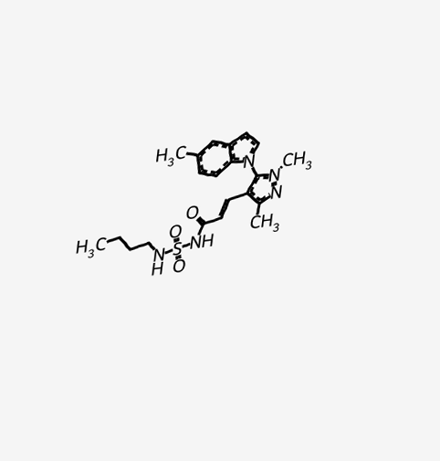 CCCCNS(=O)(=O)NC(=O)/C=C/c1c(C)nn(C)c1-n1ccc2cc(C)ccc21